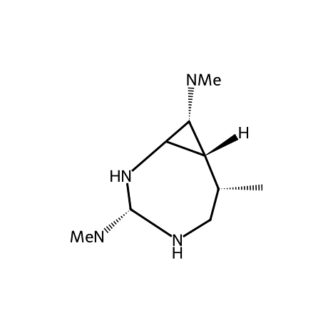 CN[C@H]1NC[C@@H](C)[C@@H]2C(N1)[C@@H]2NC